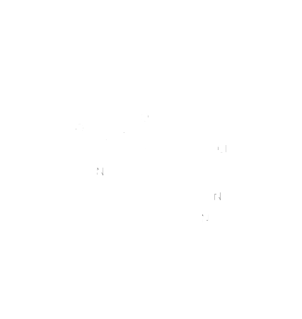 CCC1(OC)C(=O)N(C)c2cc3c(C)nnc(Cl)c3cc21